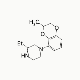 CCC1CN(c2cccc3c2OC(C)CO3)CCN1